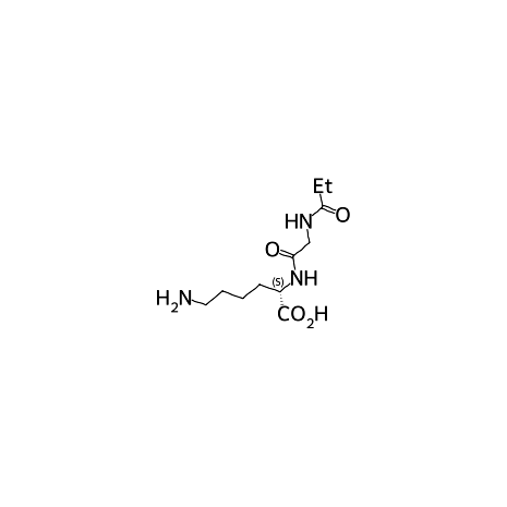 CCC(=O)NCC(=O)N[C@@H](CCCCN)C(=O)O